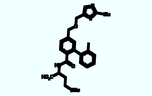 CSCCC(NC(=O)c1ccc(COCc2cnc(C(C)(C)C)s2)cc1-c1ccccc1C)C(=O)O